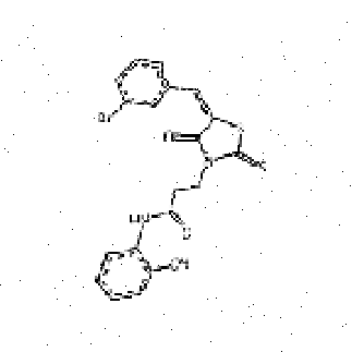 O=C(CCN1C(=O)/C(=C\c2cccc(Br)c2)SC1=S)Nc1ccccc1O